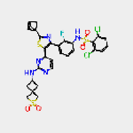 O=S1(=O)CC2(CC(Nc3nccc(-c4sc(C56C=C(C5)C6)nc4-c4cccc(NS(=O)(=O)c5c(Cl)cccc5Cl)c4F)n3)C2)C1